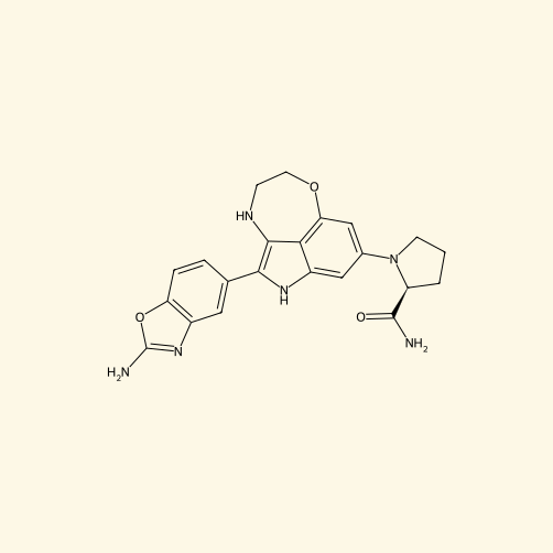 NC(=O)[C@@H]1CCCN1c1cc2c3c(c(-c4ccc5oc(N)nc5c4)[nH]c3c1)NCCO2